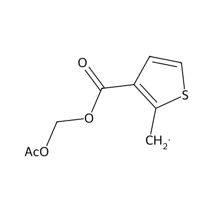 [CH2]c1sccc1C(=O)OCOC(C)=O